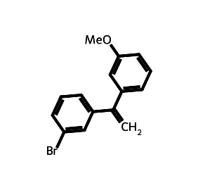 C=C(c1cccc(Br)c1)c1cccc(OC)c1